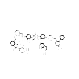 CC1(C)CCC(CN2CCN(c3ccc(C(=O)NS(=O)(=O)c4ccc(NCC5CCCN(CCc6cccc7c6C(=O)N(C6CCC(=O)NC6=O)C7=O)C5)c([N+](=O)[O-])c4)c(Oc4cnc5[nH]ccc5c4)c3)CC2)=C(c2ccc(Cl)cc2)C1